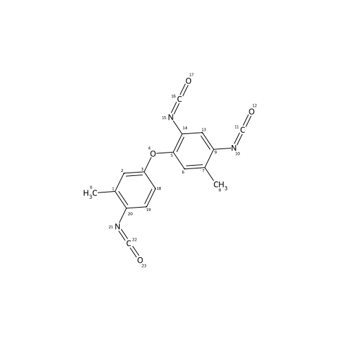 Cc1cc(Oc2cc(C)c(N=C=O)cc2N=C=O)ccc1N=C=O